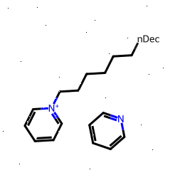 CCCCCCCCCCCCCCCC[n+]1ccccc1.c1ccncc1